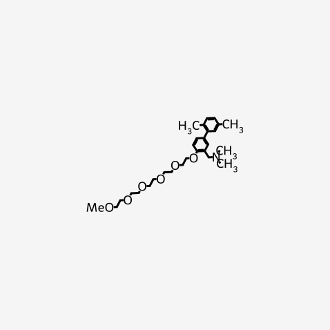 COCCOCCOCCOCCOCCOc1ccc(-c2cc(C)ccc2C)cc1CN(C)C